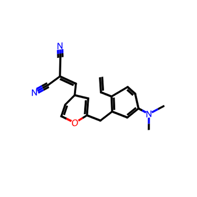 C=Cc1ccc(N(C)C)cc1CC1=CC(C=C(C#N)C#N)C=CO1